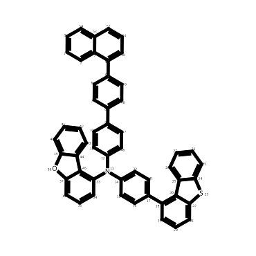 c1ccc2c(-c3ccc(-c4ccc(N(c5ccc(-c6cccc7sc8ccccc8c67)cc5)c5cccc6oc7ccccc7c56)cc4)cc3)cccc2c1